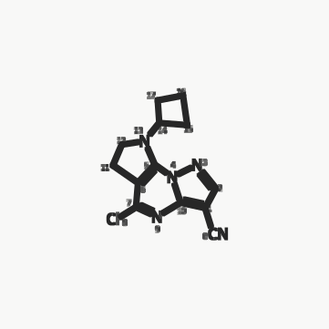 N#Cc1cnn2c3c(c(Cl)nc12)CCN3C1CCC1